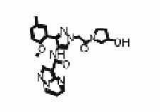 COc1ccc(C)cc1-c1nn(CC(=O)N2CCC(O)C2)cc1NC(=O)c1cnn2cccnc12